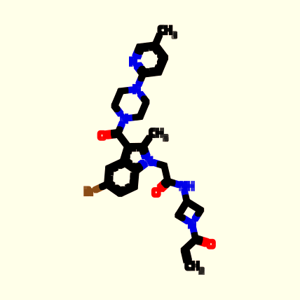 C=CC(=O)N1CC(NC(=O)Cn2c(C)c(C(=O)N3CCN(c4ccc(C)cn4)CC3)c3cc(Br)ccc32)C1